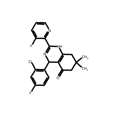 CC1(C)CC(=O)C2=C(C1)NC(c1ncccc1F)=NC2c1ccc(F)cc1Cl